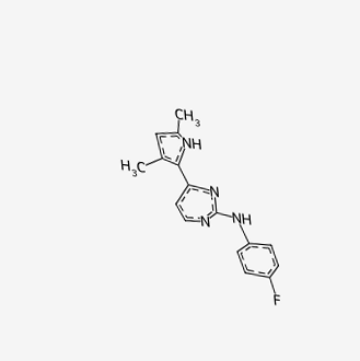 Cc1cc(C)c(-c2ccnc(Nc3ccc(F)cc3)n2)[nH]1